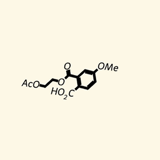 COc1ccc(C(=O)O)c(C(=O)OCCOC(C)=O)c1